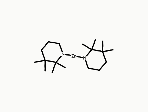 CC1(C)CCC[N]([Zn][N]2CCCC(C)(C)C2(C)C)C1(C)C